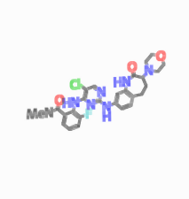 CNC(=O)c1cccc(F)c1Nc1nc(Nc2ccc3c(c2)NC(=O)C(N2CCOCC2)CC3)ncc1Cl